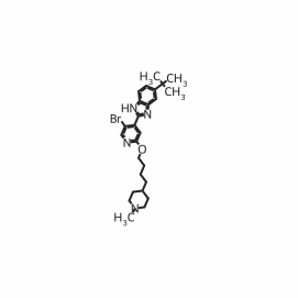 CN1CCC(CCCCOc2cc(-c3nc4cc(C(C)(C)C)ccc4[nH]3)c(Br)cn2)CC1